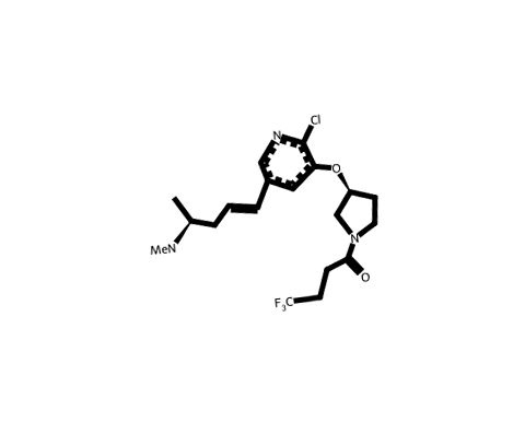 CN[C@@H](C)CC=Cc1cnc(Cl)c(O[C@H]2CCN(C(=O)CCC(F)(F)F)C2)c1